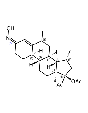 CC(=O)O[C@]1(C(C)=O)C[C@@H](C)[C@H]2[C@@H]3C[C@H](C)C4=C/C(=N\O)CC[C@@H]4[C@H]3CC[C@@]21C